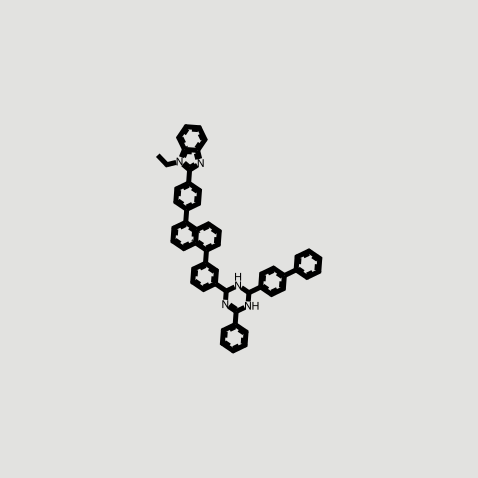 CCn1c(-c2ccc(-c3cccc4c(-c5cccc(C6N=C(c7ccccc7)NC(c7ccc(-c8ccccc8)cc7)N6)c5)cccc34)cc2)nc2ccccc21